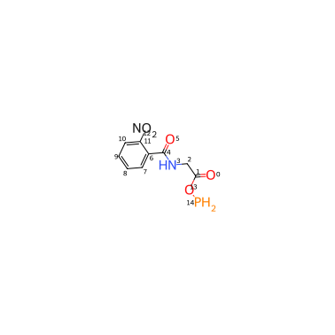 O=C(CNC(=O)c1ccccc1[N+](=O)[O-])OP